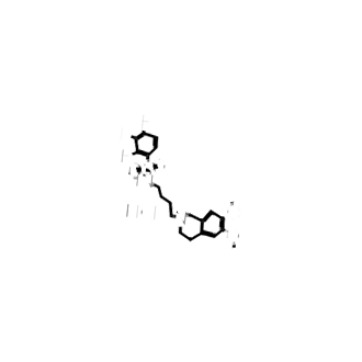 COc1cc2c(cc1OC)CN(CCCCNS(=O)(=O)c1ccc(F)c(F)c1F)CC2.Cl